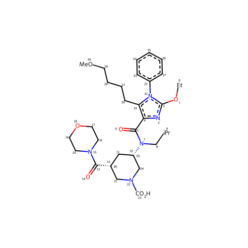 CCOc1nc(C(=O)N(CC(C)C)[C@H]2C[C@@H](C(=O)N3CCOCC3)CN(C(=O)O)C2)c(CCCCOC)n1-c1ccccc1